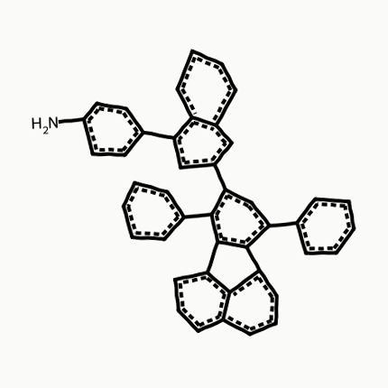 Nc1ccc(-c2cc(-c3cc(-c4ccccc4)c4c(c3-c3ccccc3)-c3cccc5cccc-4c35)cc3ccccc23)cc1